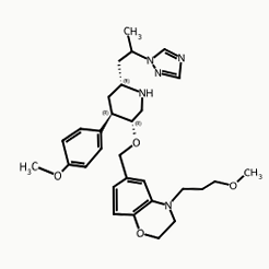 COCCCN1CCOc2ccc(CO[C@H]3CN[C@@H](CC(C)n4cncn4)C[C@@H]3c3ccc(OC)cc3)cc21